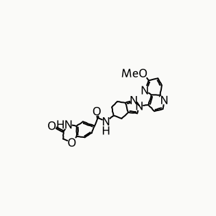 COc1ccc2nccc(-n3cc4c(n3)CCC(NC(=O)c3ccc5c(c3)NC(=O)CO5)C4)c2n1